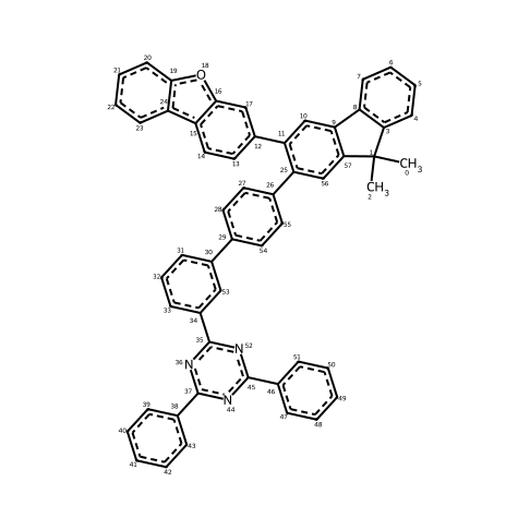 CC1(C)c2ccccc2-c2cc(-c3ccc4c(c3)oc3ccccc34)c(-c3ccc(-c4cccc(-c5nc(-c6ccccc6)nc(-c6ccccc6)n5)c4)cc3)cc21